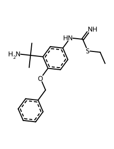 CCSC(=N)Nc1ccc(OCc2ccccc2)c(C(C)(C)N)c1